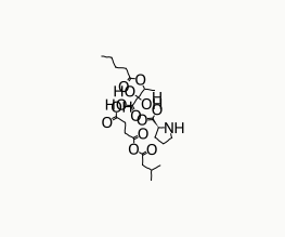 CC(C)CC(=O)OC(=O)CCC(=O)O.CCCCC(=O)OC(C)C(O)(O)C(=O)O.O=C(O)[C@@H]1CCCN1